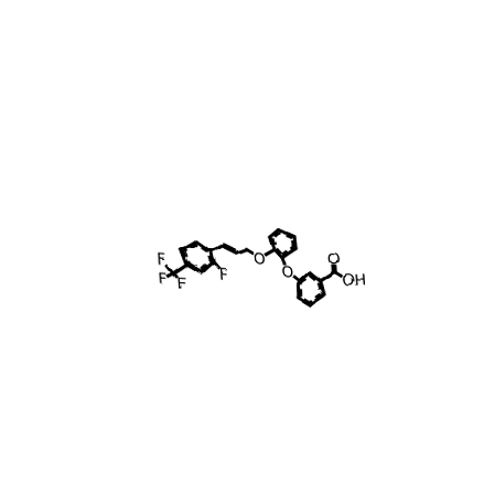 O=C(O)c1cccc(Oc2ccccc2OCC=Cc2ccc(C(F)(F)F)cc2F)c1